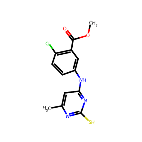 COC(=O)c1cc(Nc2cc(C)nc(S)n2)ccc1Cl